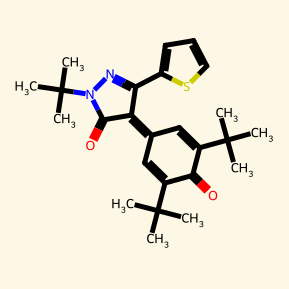 CC(C)(C)C1=CC(=C2C(=O)N(C(C)(C)C)N=C2c2cccs2)C=C(C(C)(C)C)C1=O